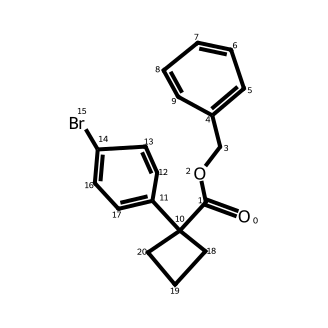 O=C(OCc1ccccc1)C1(c2ccc(Br)cc2)CCC1